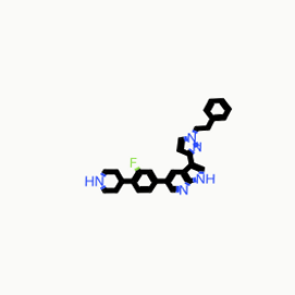 Fc1cc(-c2cnc3[nH]cc(-c4ccn(CCc5ccccc5)n4)c3c2)ccc1C1CCNCC1